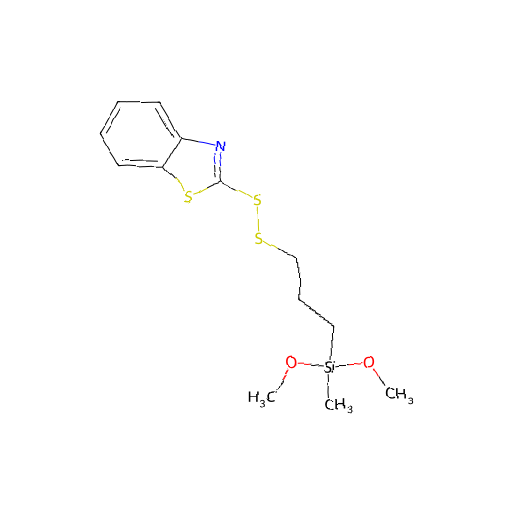 CO[Si](C)(CCCSSc1nc2ccccc2s1)OC